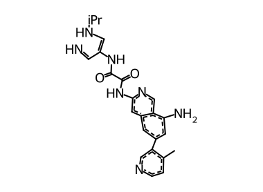 Cc1ccncc1-c1cc(N)c2cnc(NC(=O)C(=O)N/C(C=N)=C/NC(C)C)cc2c1